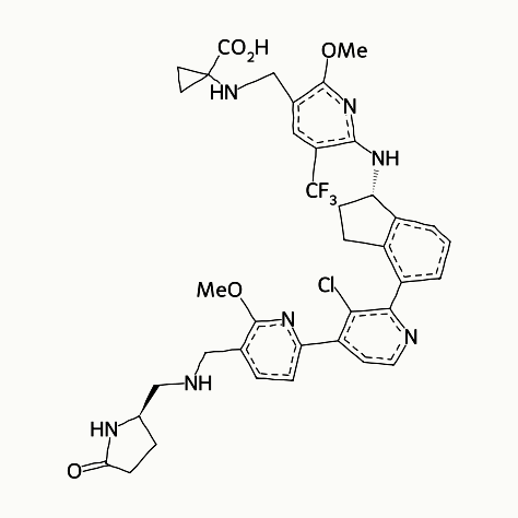 COc1nc(-c2ccnc(-c3cccc4c3CC[C@@H]4Nc3nc(OC)c(CNC4(C(=O)O)CC4)cc3C(F)(F)F)c2Cl)ccc1CNC[C@H]1CCC(=O)N1